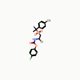 CCC(CS(=O)(=O)C(C)(I)c1ccc(C#N)cc1)NC(=O)Oc1ccc(F)cc1